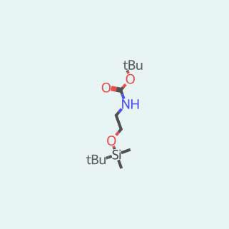 CC(C)(C)OC(=O)NCCO[Si](C)(C)C(C)(C)C